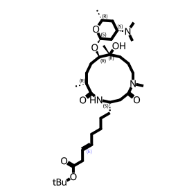 C[C@@H]1C[C@H](N(C)C)C[C@H](O[C@@H]2CC[C@@H](C)C(=O)N[C@@H](CCCC/C=C/CC(=O)OC(C)(C)C)CC(=O)N(C)CCC[C@@]2(C)O)O1